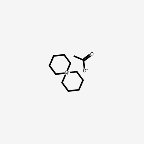 C1CC[N+]2(CC1)CCCCC2.CC(=O)[O-]